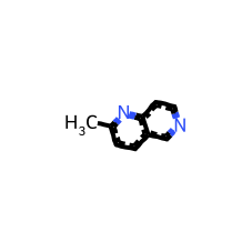 Cc1ccc2cnccc2n1